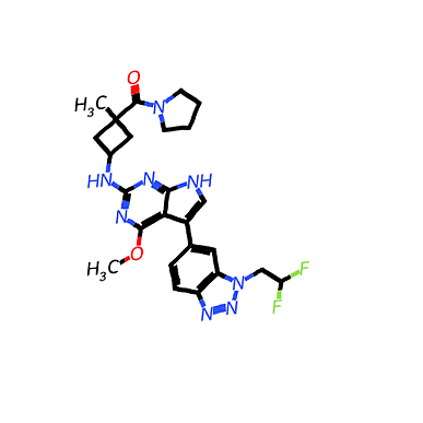 COc1nc(NC2CC(C)(C(=O)N3CCCC3)C2)nc2[nH]cc(-c3ccc4nnn(CC(F)F)c4c3)c12